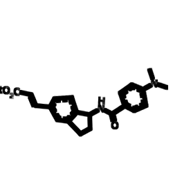 CCOC(=O)/C=C/c1ccc2c(c1)CCC2NC(=O)c1ccc(N(C)C)cc1